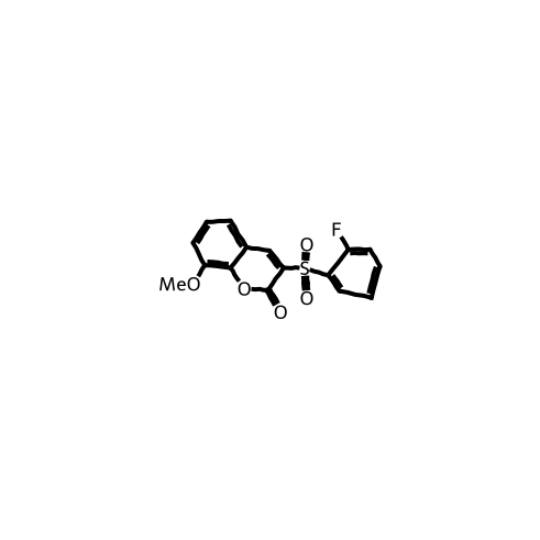 COc1cccc2cc(S(=O)(=O)c3ccccc3F)c(=O)oc12